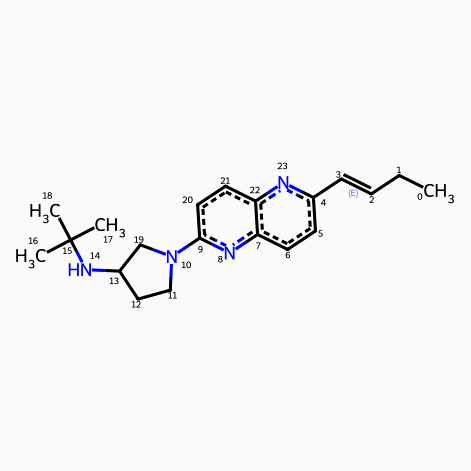 CC/C=C/c1ccc2nc(N3CCC(NC(C)(C)C)C3)ccc2n1